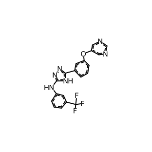 FC(F)(F)c1cccc(Nc2nnc(-c3cccc(Oc4cncnc4)c3)[nH]2)c1